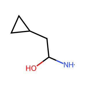 [NH]C(O)CC1CC1